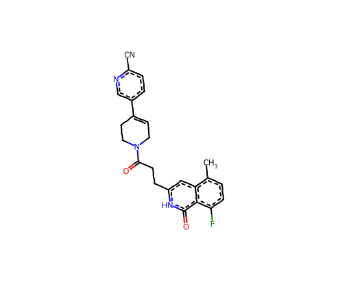 Cc1ccc(F)c2c(=O)[nH]c(CCC(=O)N3CC=C(c4ccc(C#N)nc4)CC3)cc12